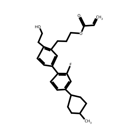 C=CC(=O)OCCCc1cc(-c2ccc(C3CCC(C)CC3)cc2F)ccc1CCO